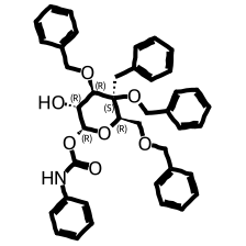 O=C(Nc1ccccc1)O[C@H]1O[C@H](COCc2ccccc2)[C@](Cc2ccccc2)(OCc2ccccc2)[C@H](OCc2ccccc2)[C@H]1O